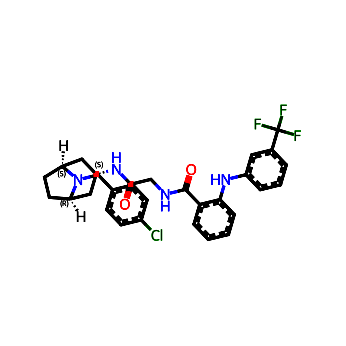 O=C(CNC(=O)c1ccccc1Nc1cccc(C(F)(F)F)c1)N[C@@H]1C[C@H]2CC[C@@H](C1)N2Cc1ccc(Cl)cc1